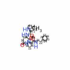 CC[C@H](NC)C(=O)N[C@H]1CCC(=O)N2CCC[C@@H](C(=O)NCCc3ccccc3)N2C1=O